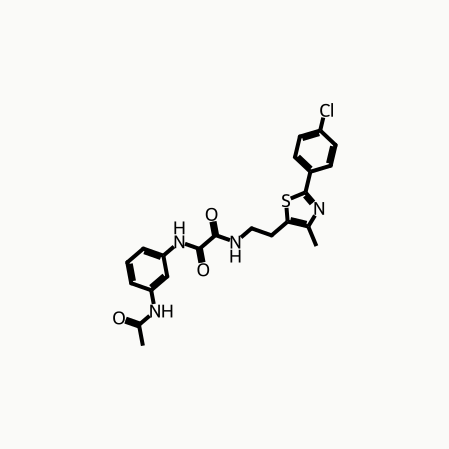 CC(=O)Nc1cccc(NC(=O)C(=O)NCCc2sc(-c3ccc(Cl)cc3)nc2C)c1